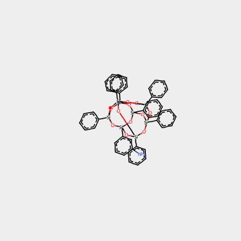 Nc1cccc([Si]23O[Si]4(c5ccccc5)O[Si]5(c6ccccc6)O[Si]6(c7ccccc7)O[Si](c7ccccc7)(O4)O[Si](c4ccccc4)(O[Si](c4ccccc4)(O6)O[Si](c4ccccc4)(O5)O2)O3)c1